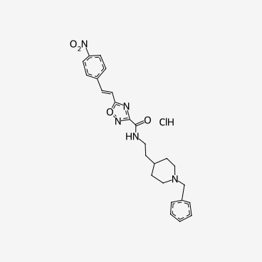 Cl.O=C(NCCC1CCN(Cc2ccccc2)CC1)c1noc(/C=C/c2ccc([N+](=O)[O-])cc2)n1